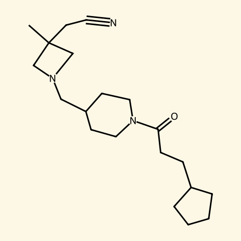 CC1(CC#N)CN(CC2CCN(C(=O)CCC3CCCC3)CC2)C1